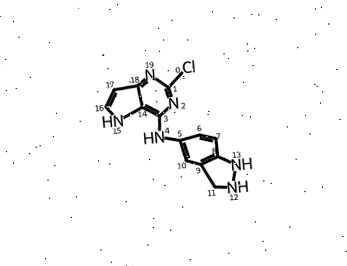 Clc1nc(Nc2ccc3c(c2)CNN3)c2[nH]ccc2n1